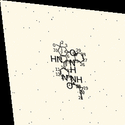 CC1(C)CC(=O)c2c([nH]c(-c3ccnc(NC(=O)[C@H]4C[C@@H]4I)c3)c2Nc2ccccc2)C1